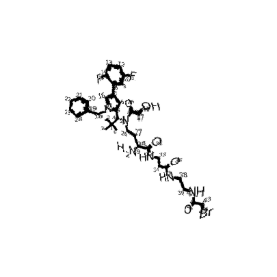 CC(C)(C)[C@H](c1cc(-c2cc(F)ccc2F)cn1Cc1ccccc1)N(CC[C@H](N)C(=O)NCCC(=O)NCCNC(=O)CBr)C(=O)CO